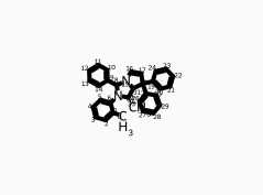 Cc1ccccc1N1C(c2ccccc2)N2C=CC(c3ccccc3)(c3ccccc3)C2[C@@H]1C